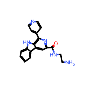 NCCNC(=O)c1cc2c([nH]c3ccccc32)c(-c2ccncc2)n1